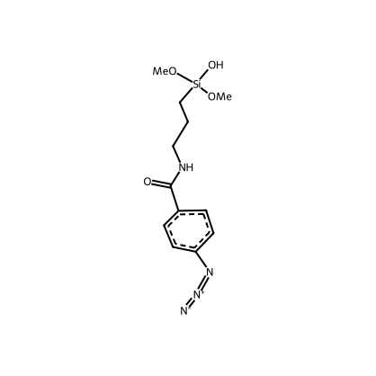 CO[Si](O)(CCCNC(=O)c1ccc(N=[N+]=[N-])cc1)OC